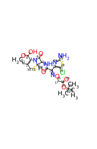 C=CC1=C(C(=O)O)N2C(=O)C(NC(=O)/C(=N/OCC(=O)OC(C)(C)C)c3nc(N)sc3Cl)[C@H]2SC1